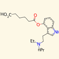 CCCN(CC)CCc1c[nH]c2cccc(OC(=O)CCCCC(=O)O)c12